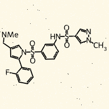 CNCc1cc(-c2ccccc2F)n(S(=O)(=O)c2cccc(NS(=O)(=O)c3cnn(C)c3)c2)c1